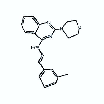 Cc1cccc(/C=N/Nc2nc(N3CCOCC3)nc3ccccc23)c1